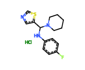 Cl.Fc1ccc(NC(c2cncs2)N2CCCCC2)cc1